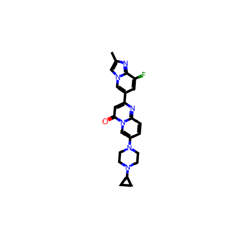 Cc1cn2cc(-c3cc(=O)n4cc(N5CCN(C6CC6)CC5)ccc4n3)cc(F)c2n1